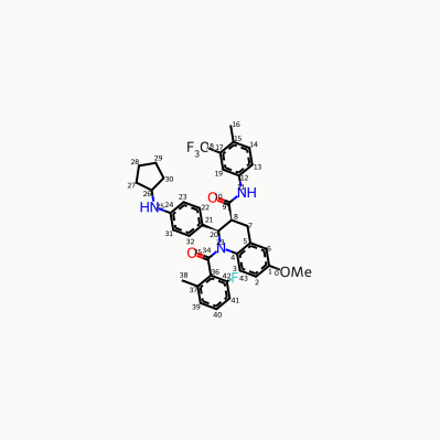 COc1ccc2c(c1)C[C@H](C(=O)Nc1ccc(C)c(C(F)(F)F)c1)[C@H](c1ccc(NC3CCCC3)cc1)N2C(=O)c1c(C)cccc1F